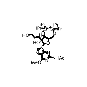 COc1nc(NC(C)=O)nc2c1ncn2C1OC2CO[Si](C(C)C)(C(C)C)O[Si](C(C)C)(C(C)C)O[C@H]2[C@@]1(O)CCCO